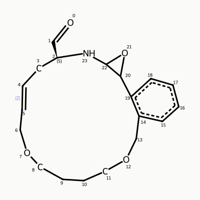 O=C[C@@H]1C/C=C\COCCCCOCc2ccccc2C2OC2N1